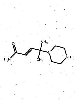 CC(C)(C=CC(N)=O)N1CCNCC1